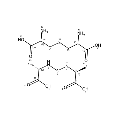 C[C@H](NSN[C@@H](C)C(=O)O)C(=O)O.NC(CSC[C@H](N)C(=O)O)C(=O)O